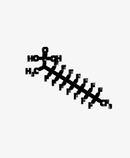 CC(C(F)(F)C(F)(F)C(F)(F)C(F)(F)C(F)(F)C(F)(F)C(F)(F)C(F)(F)F)P(=O)(O)O